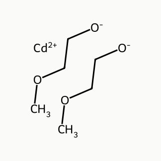 COCC[O-].COCC[O-].[Cd+2]